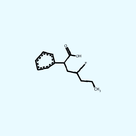 CCCC(F)CC(C(=O)O)c1ccccc1